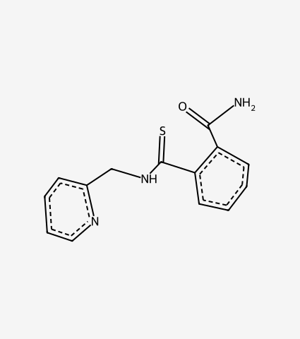 NC(=O)c1ccccc1C(=S)NCc1ccccn1